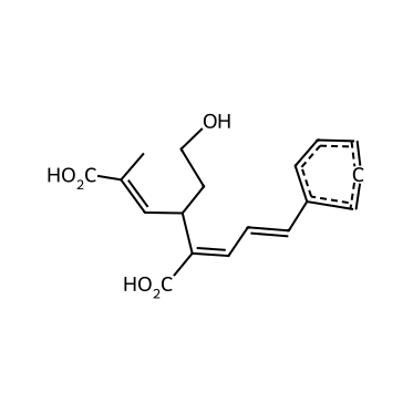 CC(=CC(CCO)C(=CC=Cc1ccccc1)C(=O)O)C(=O)O